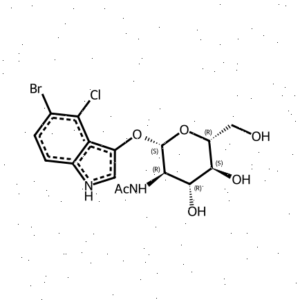 CC(=O)N[C@H]1[C@H](Oc2c[nH]c3ccc(Br)c(Cl)c23)O[C@H](CO)[C@@H](O)[C@@H]1O